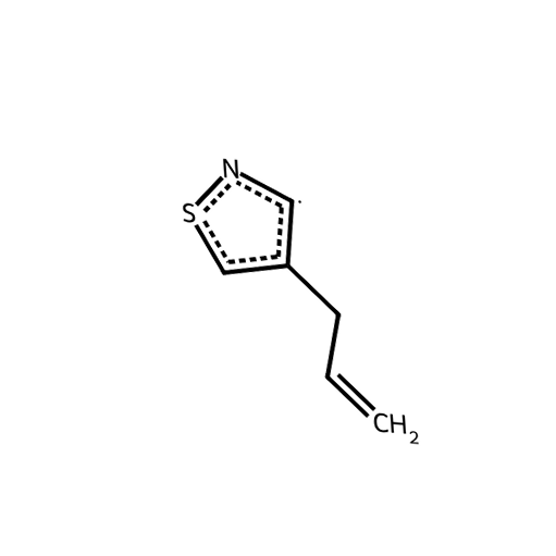 C=CCc1[c]nsc1